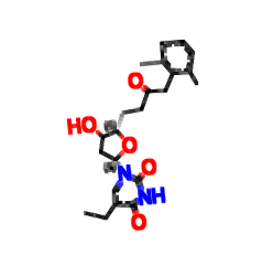 CCc1cn([C@@H]2CC(O)[C@H](CCC(=O)Cc3c(C)cccc3C)O2)c(=O)[nH]c1=O